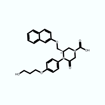 O=C(O)N1CC(=O)N(c2ccc(OCCCO)cc2)[C@@H](COc2ccc3ccccc3c2)C1